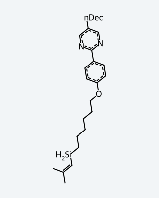 CCCCCCCCCCc1cnc(-c2ccc(OCCCCCC[SiH2]C=C(C)C)cc2)nc1